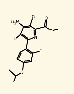 COC(=O)c1nc(-c2ccc(SC(C)C)cc2F)c(F)c(N)c1Cl